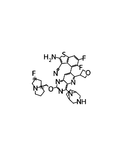 N#Cc1c(N)sc2cc(F)c(F)c(-c3cc4nc(OC[C@@]56CCCN5C[C@H](F)C6)nc(N5C6CCC5CNC6)c4nc3C3COC3)c12